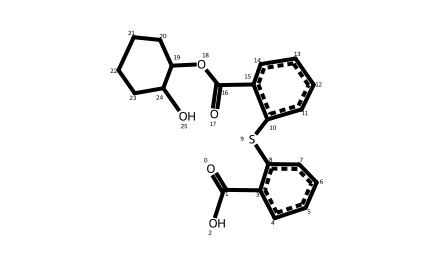 O=C(O)c1ccccc1Sc1ccccc1C(=O)OC1CCCCC1O